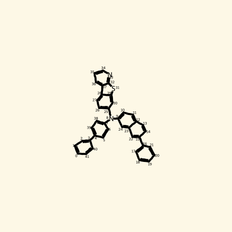 c1ccc(-c2ccc(N(c3ccc4ccc(-c5ccccc5)cc4c3)c3ccc4c(c3)sc3ncccc34)cc2)cc1